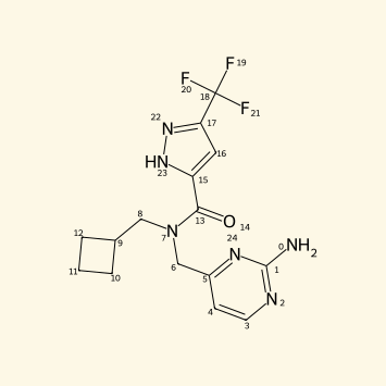 Nc1nccc(CN(CC2CCC2)C(=O)c2cc(C(F)(F)F)n[nH]2)n1